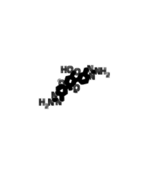 COC1=CC(C(=O)O)C(c2ccc3nc(N)ncc3c2)=C(OC)C1(C)c1ccc2nc(N)ncc2c1